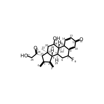 C=C1C(=C)[C@H]2[C@@H]3CC(F)C4=CC(=O)C=C[C@]4(C)[C@H]3C(O)C[C@]2(C)[C@H]1C(=O)CO